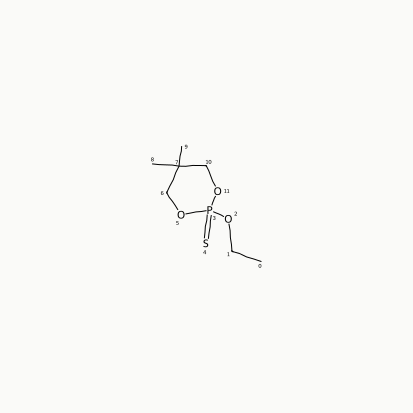 CCOP1(=S)OCC(C)(C)CO1